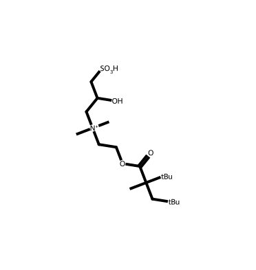 CC(C)(C)CC(C)(C(=O)OCC[N+](C)(C)CC(O)CS(=O)(=O)O)C(C)(C)C